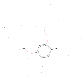 O=C(O)c1ccc(OCF)cc1OCF